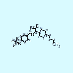 C=CCCC1CCC(C(OCc2ccc(OC(F)(F)F)cc2)C(F)F)CC1